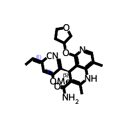 C=C(/C(=C\C(C#N)=C/C)OC)[C@@H]1C(C(N)=O)=C(C)Nc2c(C)cnc(OC3CCOC3)c21